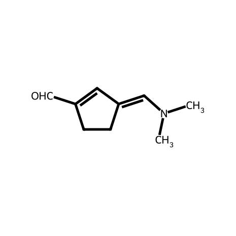 CN(C)C=C1C=C(C=O)CC1